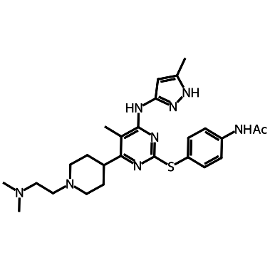 CC(=O)Nc1ccc(Sc2nc(Nc3cc(C)[nH]n3)c(C)c(C3CCN(CCN(C)C)CC3)n2)cc1